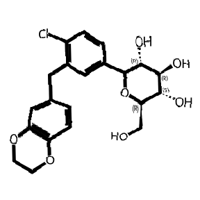 OC[C@H]1OC(c2ccc(Cl)c(Cc3ccc4c(c3)OCCO4)c2)[C@H](O)[C@@H](O)[C@@H]1O